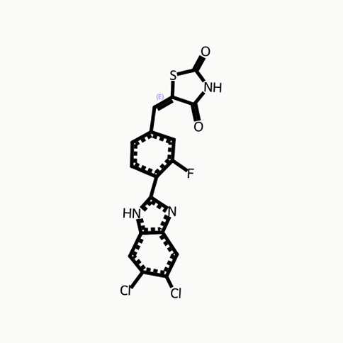 O=C1NC(=O)/C(=C\c2ccc(-c3nc4cc(Cl)c(Cl)cc4[nH]3)c(F)c2)S1